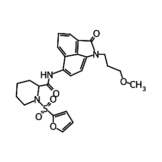 COCCCN1C(=O)c2cccc3c(NC(=O)C4CCCCN4S(=O)(=O)c4ccco4)ccc1c23